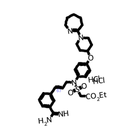 CCOC(=O)CS(=O)(=O)N(C/C=C/c1cccc(C(=N)N)c1)c1ccc(OC2CCN(C3=NCCCCC3)CC2)cc1.Cl.Cl